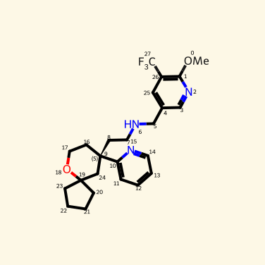 COc1ncc(CNCC[C@]2(c3ccccn3)CCOC3(CCCC3)C2)cc1C(F)(F)F